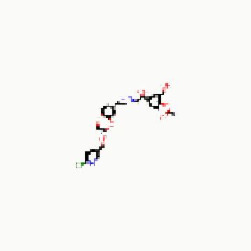 CC(=O)Oc1ccc([C@@H](O)CNCCc2ccc3c(c2)O[C@H](COCc2ccc(Cl)nc2)CO3)cc1CO